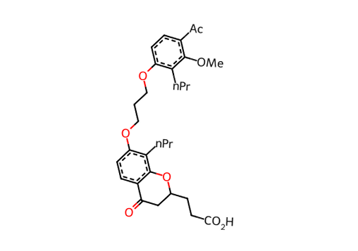 CCCc1c(OCCCOc2ccc3c(c2CCC)OC(CCC(=O)O)CC3=O)ccc(C(C)=O)c1OC